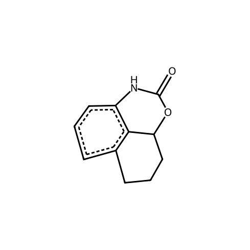 O=C1Nc2cccc3c2C(CCC3)O1